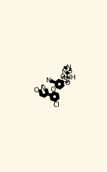 Cn1cc(-c2cc(Cl)ccc2Oc2ccc(S(=O)(=O)Nc3ncns3)cc2C#N)ccc1=O